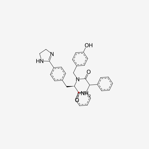 NC(=O)[C@@H](Cc1ccc(C2=NCCN2)cc1)N(Cc1ccc(O)cc1)C(=O)C(c1ccccc1)c1ccccc1